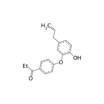 C=CCc1ccc(O)c(Oc2ccc(C(=O)CC)cc2)c1